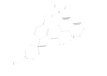 CC(OCC1(c2ccc(F)cc2)CCN(C)CC1)c1cc(C(F)(F)F)cc2cccnc12